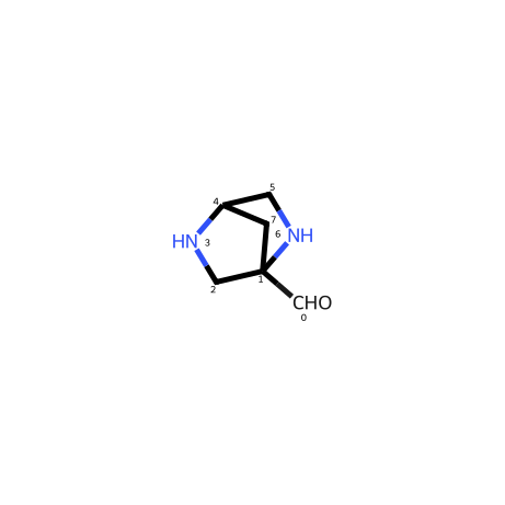 O=CC12CNC(CN1)C2